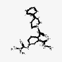 CN(C)C(=O)OC1CCC(C(=O)N2CCC(c3ccccc3)CC2)C(C(=O)NO)C1